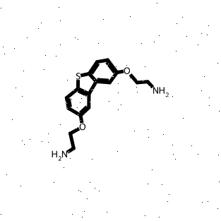 NCCOc1ccc2sc3ccc(OCCN)cc3c2c1